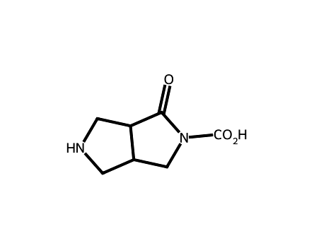 O=C(O)N1CC2CNCC2C1=O